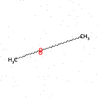 CCCCCCCCCCCCCCCCCCCCCCCCCCCCOC(=O)CCCCCCCCCCCCCCCC